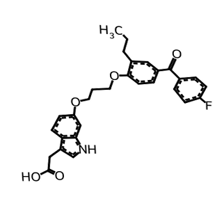 CCCc1cc(C(=O)c2ccc(F)cc2)ccc1OCCCOc1ccc2c(CC(=O)O)c[nH]c2c1